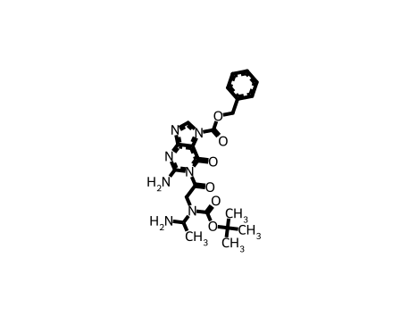 CC(N)N(CC(=O)n1c(N)nc2ncn(C(=O)OCc3ccccc3)c2c1=O)C(=O)OC(C)(C)C